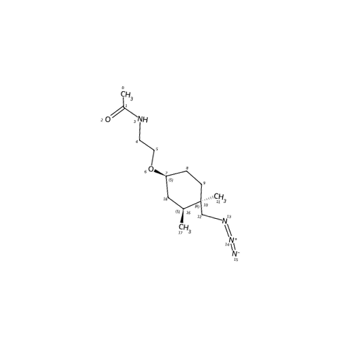 CC(=O)NCCO[C@H]1CC[C@@](C)(CN=[N+]=[N-])[C@@H](C)C1